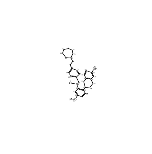 CCN(Cc1ccc(CCN2CCCCCC2)cn1)c1cc(OC)ccc1C1CCc2cc(O)ccc2C1